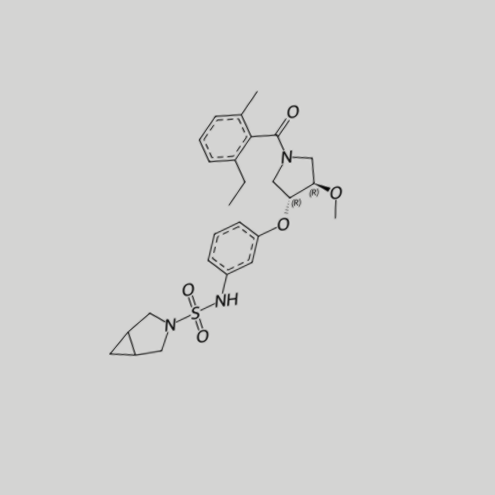 CCc1cccc(C)c1C(=O)N1C[C@@H](OC)[C@H](Oc2cccc(NS(=O)(=O)N3CC4CC4C3)c2)C1